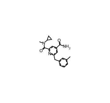 Cc1cccc(Cc2cc(C(N)=O)cc(C(=O)N(C)C3CC3)n2)c1